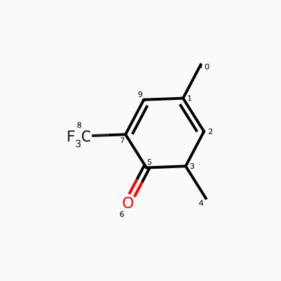 [CH2]C1=CC(C)C(=O)C(C(F)(F)F)=C1